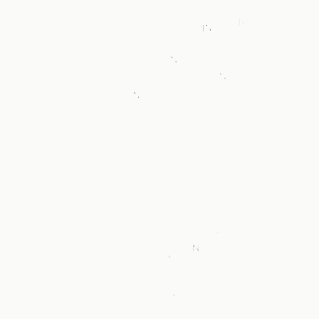 CCCCNc1ncc2c(-c3ccc(SN4CCOCC4)cc3)cn(C3CCCCC3)c2n1